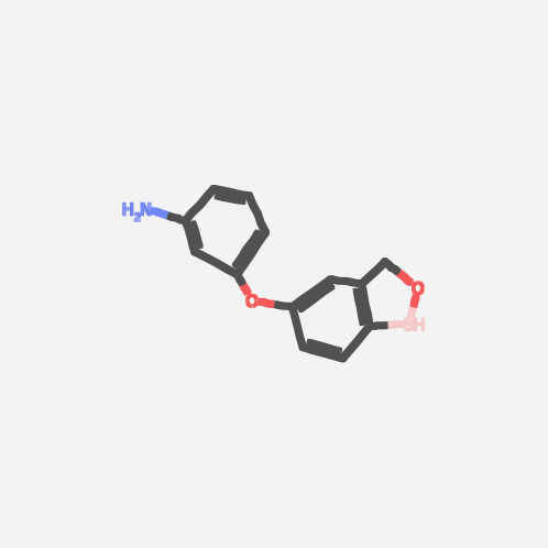 Nc1cccc(Oc2ccc3c(c2)COB3)c1